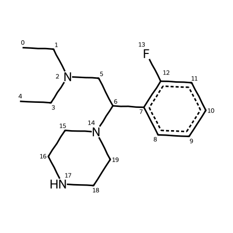 CCN(CC)CC(c1ccccc1F)N1CCNCC1